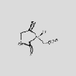 CC[N+]1(CC(=O)[O-])C(=O)CNC1=S